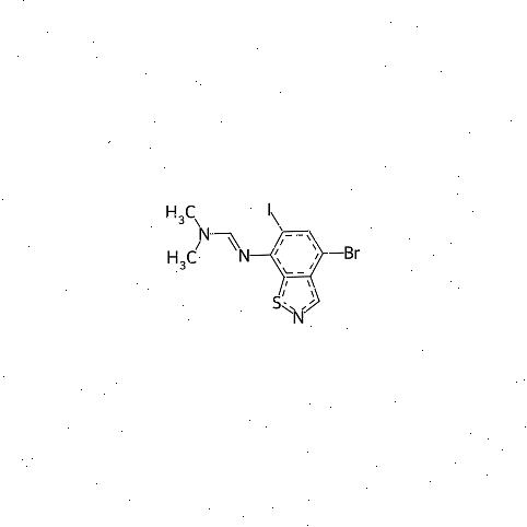 CN(C)/C=N/c1c(I)cc(Br)c2cnsc12